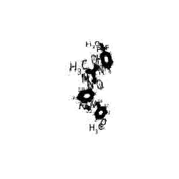 CCC(F)(F)c1cccc(NC(=O)C2C(=O)N(c3ccc4ncn(Cc5ccc(OC)cc5)c4c3)N=C2C)c1